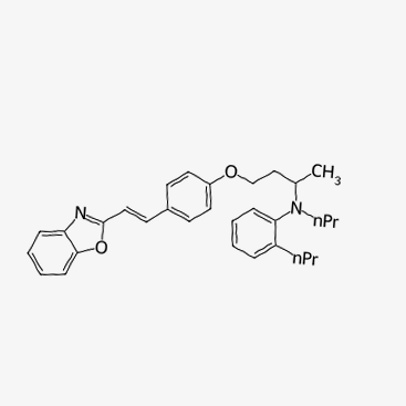 CCCc1ccccc1N(CCC)C(C)CCOc1ccc(C=Cc2nc3ccccc3o2)cc1